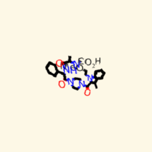 COCCn1c(C(=O)N2CCN(C(=O)C(NC(=O)C(C)N(C)C(=O)O)C3CCCCC3)CC2)c(C)c2ccccc21